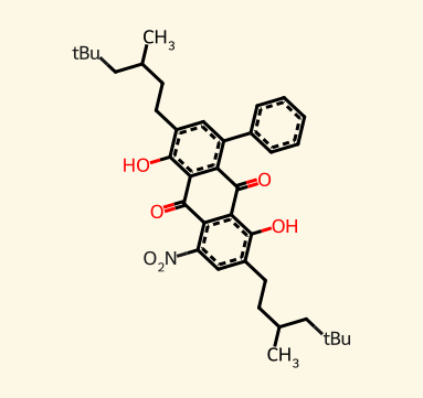 CC(CCc1cc(-c2ccccc2)c2c(c1O)C(=O)c1c([N+](=O)[O-])cc(CCC(C)CC(C)(C)C)c(O)c1C2=O)CC(C)(C)C